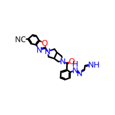 N#Cc1ccc2oc(N3CC4CN(C(=O)c5ccccc5N/N=C\C=N)CC4C3)nc2c1